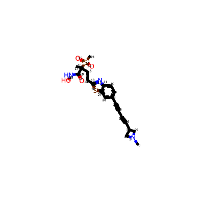 CN1CC(C#CC#Cc2ccc3nc(CCC(C)(C(=O)NO)S(C)(=O)=O)sc3c2)C1